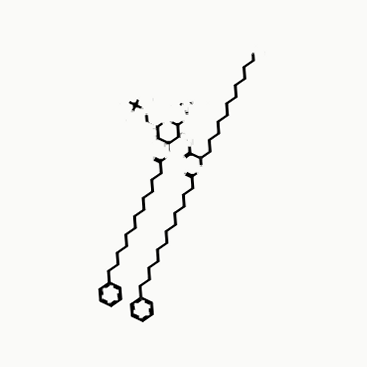 CCCCCCCCCCCCC(OC(=O)CCCCCCCCCCCCc1ccccc1)C(=O)N[C@H]1C(O[SiH](C)C)O[C@H](COC(C)(C)C)[C@@H](O)[C@@H]1OC(=O)CCCCCCCCCCCCc1ccccc1